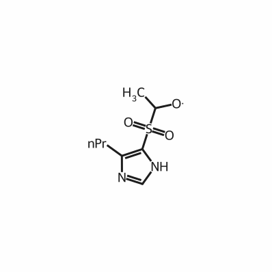 CCCc1nc[nH]c1S(=O)(=O)C(C)[O]